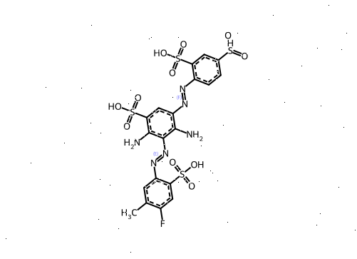 Cc1cc(/N=N/c2c(N)c(/N=N/c3ccc([SH](=O)=O)cc3S(=O)(=O)O)cc(S(=O)(=O)O)c2N)c(S(=O)(=O)O)cc1F